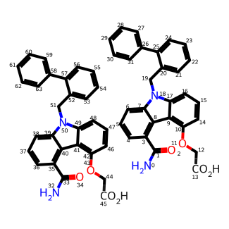 NC(=O)c1cccc2c1c1c(OCC(=O)O)cccc1n2Cc1ccccc1-c1ccccc1.NC(=O)c1cccc2c1c1c(OCC(=O)O)cccc1n2Cc1ccccc1-c1ccccc1